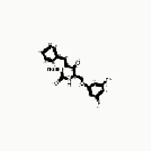 CC(C)(C)OC(=O)NC(COc1cc(F)cc(F)c1)C(=O)CCc1ccccc1